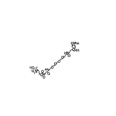 COc1ccc2[nH]cc(CCNC(=O)CCOCCOCCOCCOCCNC(=O)CCN3C(=O)CC(SC[C@H](N)C(=O)O)C3=O)c2c1